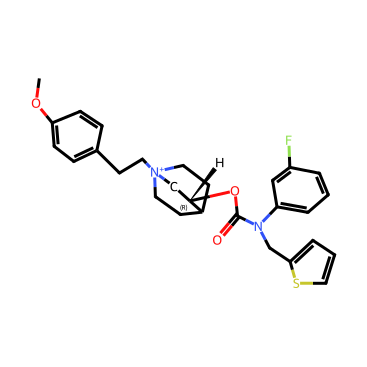 COc1ccc(CC[N+]23CCC(CC2)[C@@H](OC(=O)N(Cc2cccs2)c2cccc(F)c2)C3)cc1